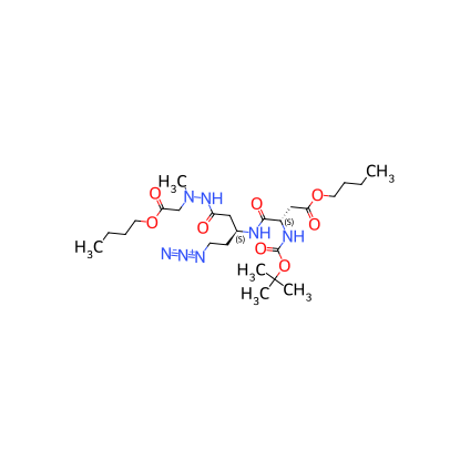 CCCCOC(=O)C[C@H](NC(=O)OC(C)(C)C)C(=O)N[C@@H](CCN=[N+]=[N-])CC(=O)NN(C)CC(=O)OCCCC